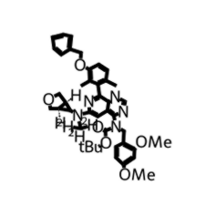 [2H]C([2H])([2H])N(c1cc2c(N(Cc3ccc(OC)cc3OC)C(=O)OC(C)(C)C)ncnc2c(-c2c(C)ccc(OCc3ccccc3)c2C)n1)C1[C@H]2COC[C@@H]12